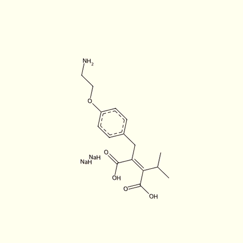 CC(C)/C(C(=O)O)=C(\Cc1ccc(OCCN)cc1)C(=O)O.[NaH].[NaH]